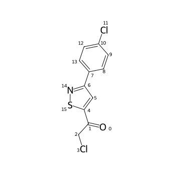 O=C(CCl)c1cc(-c2ccc(Cl)cc2)ns1